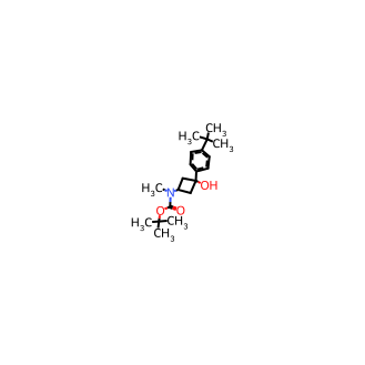 CN(C(=O)OC(C)(C)C)C1CC(O)(c2ccc(C(C)(C)C)cc2)C1